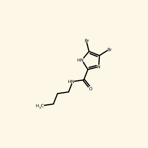 CCCCNC(=O)c1nc(Br)c(Br)[nH]1